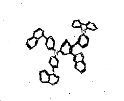 c1cc(-c2ccc(N(c3ccc(-c4cccc5ccccc45)cc3)c3ccc(-c4cccc5ccccc45)cc3)cc2-c2ccc3ccccc3c2)cc(-n2c3ccccc3c3ccccc32)c1